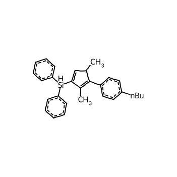 CCCCc1ccc(C2=C(C)C([SiH](c3ccccc3)c3ccccc3)=CC2C)cc1